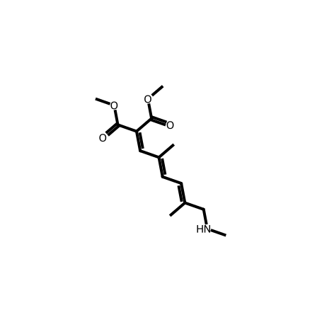 CNC/C(C)=C/C=C(\C)C=C(C(=O)OC)C(=O)OC